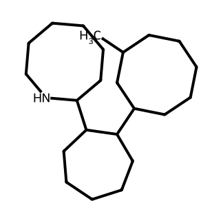 CC1CCCCCC(C2CCCCCC2C2CCCCCCN2)C1